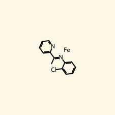 CC(=Nc1ccccc1Cl)c1ccccn1.[Fe]